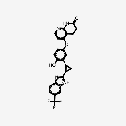 O=C1CCc2c(Oc3ccc(O)c([C@H]4CC4c4nc5ccc(C(F)(F)F)cc5[nH]4)c3)ccnc2N1